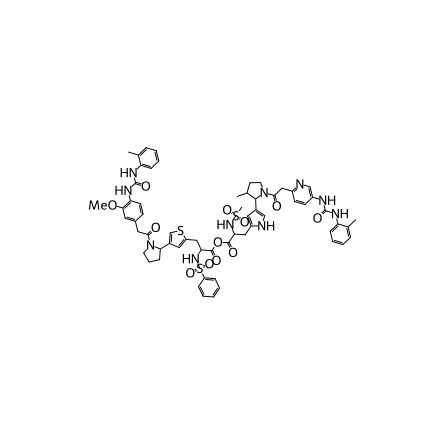 COc1cc(CC(=O)N2CCCC2c2csc(CC(NS(=O)(=O)c3ccccc3)C(=O)OC(=O)C(Cc3cc(C4C(C)CCN4C(=O)Cc4ccc(NC(=O)Nc5ccccc5C)cn4)c[nH]3)NS(C)(=O)=O)c2)ccc1NC(=O)Nc1ccccc1C